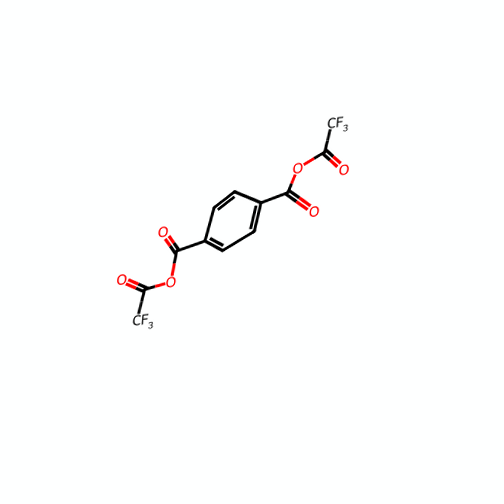 O=C(OC(=O)C(F)(F)F)c1ccc(C(=O)OC(=O)C(F)(F)F)cc1